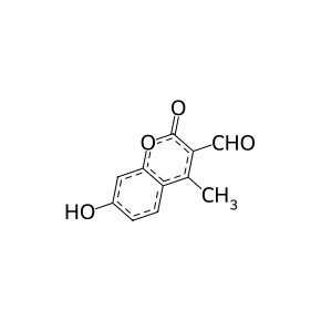 Cc1c(C=O)c(=O)oc2cc(O)ccc12